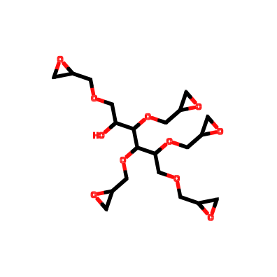 OC(COCC1CO1)C(OCC1CO1)C(OCC1CO1)C(COCC1CO1)OCC1CO1